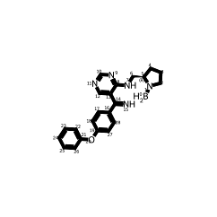 BN1CCC[C@@H]1CNc1ncncc1C(=N)c1ccc(Oc2ccccc2)cc1